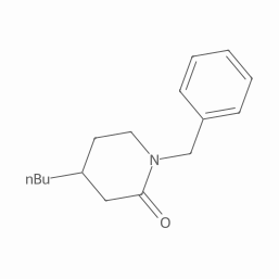 CCCCC1CCN(Cc2ccccc2)C(=O)C1